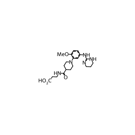 COc1ccc(NC2=NCCCN2)cc1N1CCC(C(=O)NCCC(=O)O)CC1